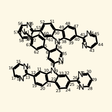 N#Cc1ccc(-c2cc(-n3c4cc(-c5ncccn5)ccc4c4ccc(-c5ncccn5)cc43)ncc2-n2c3cc(-c4ncccn4)ccc3c3ccc(-c4ncccn4)cc32)cc1